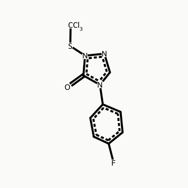 O=c1n(-c2ccc(F)cc2)cnn1SC(Cl)(Cl)Cl